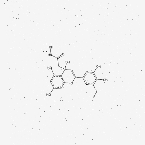 CCc1cc(C2=CC(O)(CC(=O)NO)c3c(O)cc(O)cc3O2)cc(O)c1O